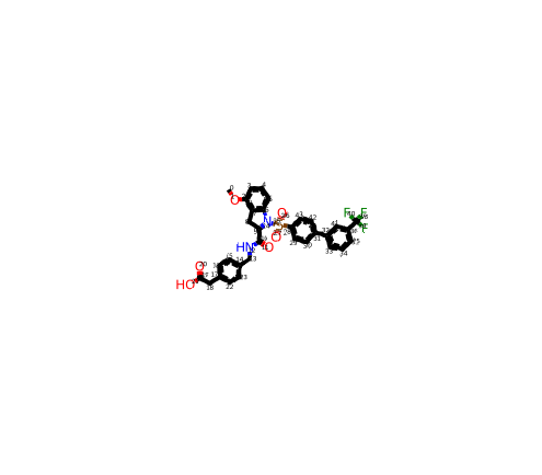 COc1cccc2c1CC(C(=O)NCc1ccc(CC(=O)O)cc1)N2S(=O)(=O)c1ccc(-c2cccc(C(F)(F)F)c2)cc1